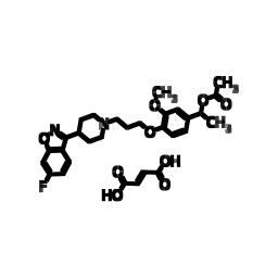 COc1cc(C(C)OC(C)=O)ccc1OCCCN1CCC(c2noc3cc(F)ccc23)CC1.O=C(O)C=CC(=O)O